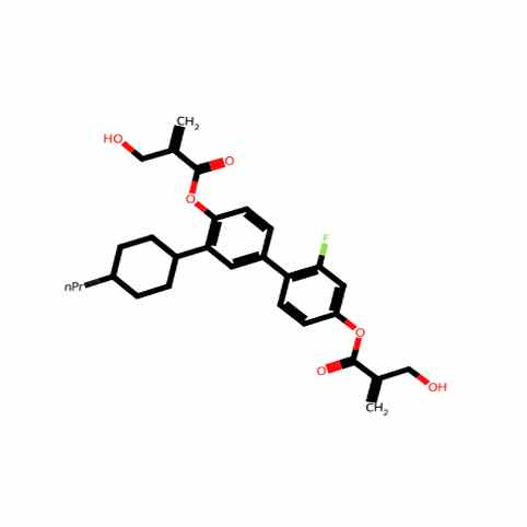 C=C(CO)C(=O)Oc1ccc(-c2ccc(OC(=O)C(=C)CO)c(C3CCC(CCC)CC3)c2)c(F)c1